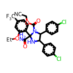 CCOc1cc(C(F)(F)F)ccc1C1(C(N)=O)NC(c2ccc(Cl)cc2)C(c2ccc(Cl)cc2)N1C(=O)OCC#N